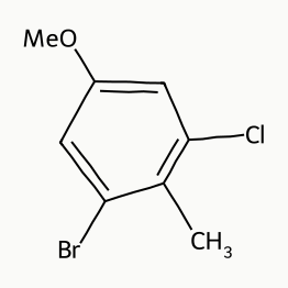 COc1cc(Cl)c(C)c(Br)c1